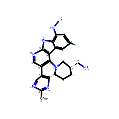 CCNc1cc(F)cc2c1[nH]c1ncc(-c3cnc(OC)nc3)c(N3CCC[C@@H](CN)C3)c12